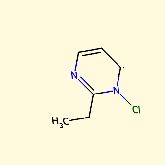 CCC1=NC=C[CH]N1Cl